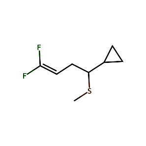 CSC(CC=C(F)F)C1CC1